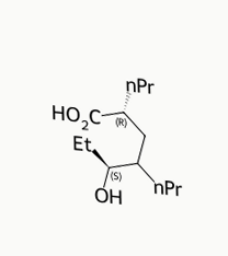 CCCC(C[C@@H](CCC)C(=O)O)[C@@H](O)CC